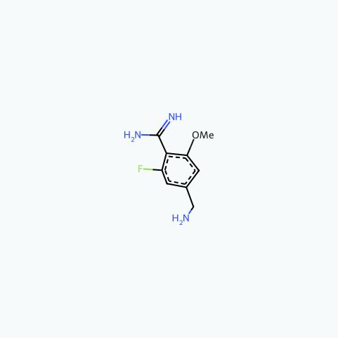 COc1cc(CN)cc(F)c1C(=N)N